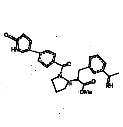 COC(=O)C(Cc1cccc(C(C)=N)c1)[C@H]1CCCN1C(=O)c1ccc(-c2ccc(=O)[nH]c2)cc1